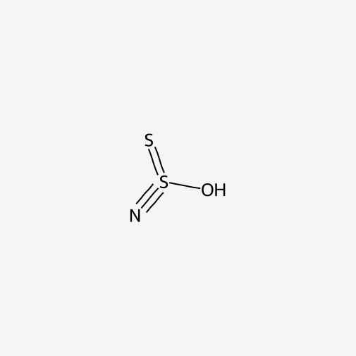 N#S(O)=S